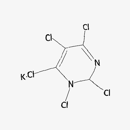 ClC1=NC(Cl)N(Cl)C(Cl)=C1Cl.[K]